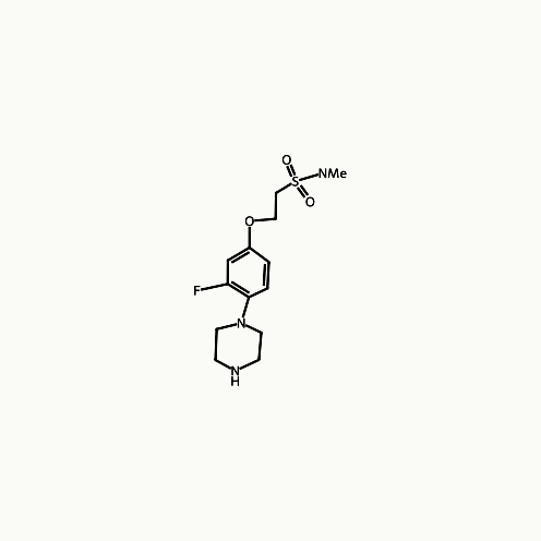 CNS(=O)(=O)CCOc1ccc(N2CCNCC2)c(F)c1